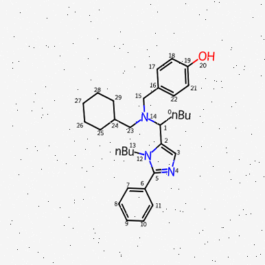 CCCCC(c1cnc(-c2ccccc2)n1CCCC)N(Cc1ccc(O)cc1)CC1CCCCC1